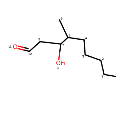 CCCCCC(C)C(O)CC=O